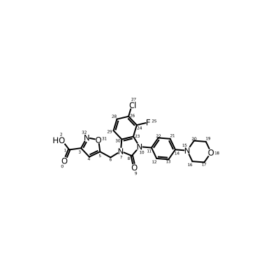 O=C(O)c1cc(Cn2c(=O)n(-c3ccc(N4CCOCC4)cc3)c3c(F)c(Cl)ccc32)on1